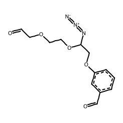 [N-]=[N+]=NC(COc1cccc(C=O)c1)OCCOCC=O